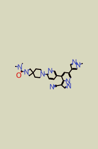 CN(C)C(=O)N1CC2(CCN(c3ccc(-c4cc(-c5cnn(C)c5)cn5ncc(C#N)c45)cn3)CC2)C1